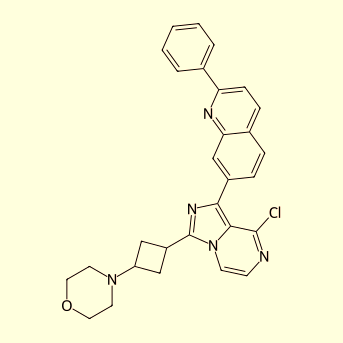 Clc1nccn2c(C3CC(N4CCOCC4)C3)nc(-c3ccc4ccc(-c5ccccc5)nc4c3)c12